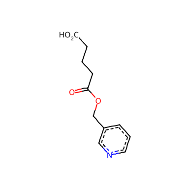 O=C(O)CCCC(=O)OCc1cccnc1